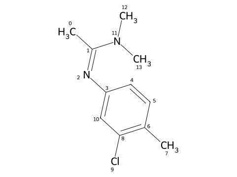 CC(=Nc1ccc(C)c(Cl)c1)N(C)C